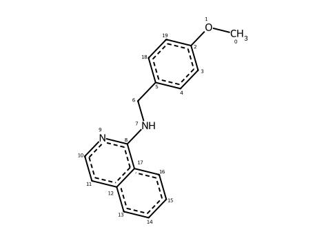 COc1ccc(CNc2nccc3ccccc23)cc1